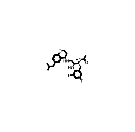 CC(=O)N[C@@H](Cc1cc(F)cc(F)c1)[C@@H](O)CN[C@H]1CCOc2ccc(CC(C)C)cc21